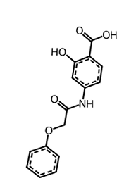 O=C(COc1ccccc1)Nc1ccc(C(=O)O)c(O)c1